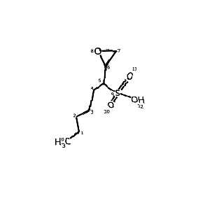 CCCCCC(C1CO1)S(=O)(=O)O